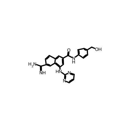 N=C(N)c1ccc2cc(C(=O)Nc3ccc(CO)cc3)cc(Nc3ncccn3)c2c1